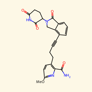 COc1ccc(CCC#Cc2cccc3c2CN(C2CCC(=O)NC2=O)C3=O)c(C(N)=O)n1